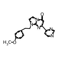 COc1ccc(CCn2ccn3c(=O)cc(-c4ccncn4)nc23)cc1